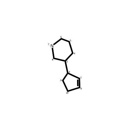 C1=CC(C2CCC[N]C2)CC1